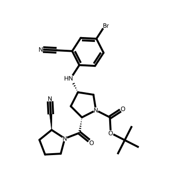 CC(C)(C)OC(=O)N1C[C@@H](Nc2ccc(Br)cc2C#N)C[C@H]1C(=O)N1CCC[C@H]1C#N